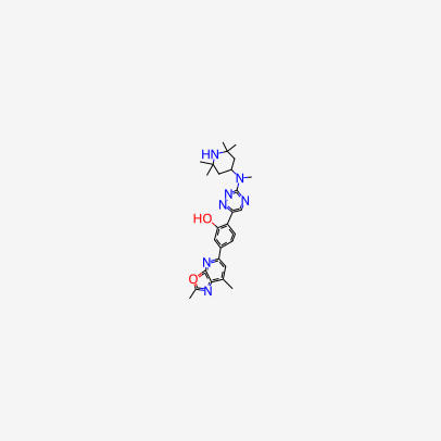 Cc1nc2c(C)cc(-c3ccc(-c4cnc(N(C)C5CC(C)(C)NC(C)(C)C5)nn4)c(O)c3)nc2o1